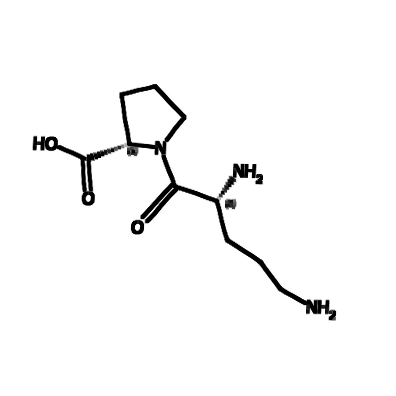 NCCC[C@@H](N)C(=O)N1CCC[C@H]1C(=O)O